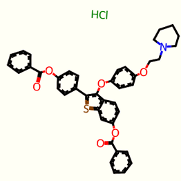 Cl.O=C(Oc1ccc(-c2sc3cc(OC(=O)c4ccccc4)ccc3c2Oc2ccc(OCCN3CCCCC3)cc2)cc1)c1ccccc1